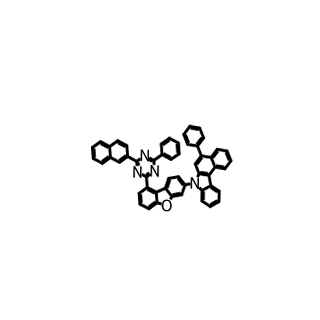 c1ccc(-c2nc(-c3ccc4ccccc4c3)nc(-c3cccc4oc5cc(-n6c7ccccc7c7c8ccccc8c(-c8ccccc8)cc76)ccc5c34)n2)cc1